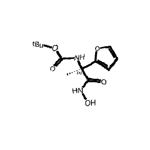 CC(C)(C)OC(=O)N[C@](C)(C(=O)NO)c1ccco1